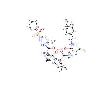 CC(C)[C@@H](CNS(=O)(=O)c1ccccc1)NC(=O)N[C@H](C(=O)N1CC2C([C@H]1C(=O)N[C@@H](CC(F)F)C(=O)NCCc1ccc(C(=O)O)cc1)C2(C)C)C(C)(C)C